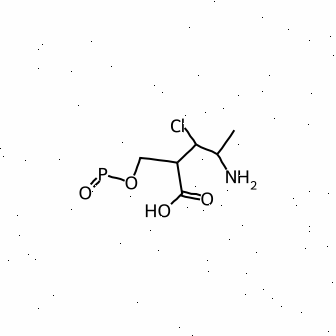 CC(N)C(Cl)C(COP=O)C(=O)O